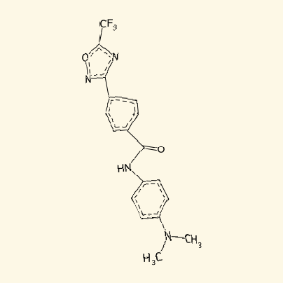 CN(C)c1ccc(NC(=O)c2ccc(-c3noc(C(F)(F)F)n3)cc2)cc1